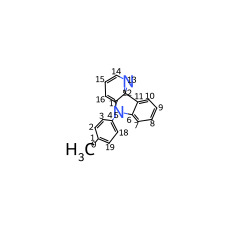 Cc1ccc(-n2c3ccccc3c3ncccc32)cc1